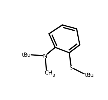 CN(c1ccccc1SC(C)(C)C)C(C)(C)C